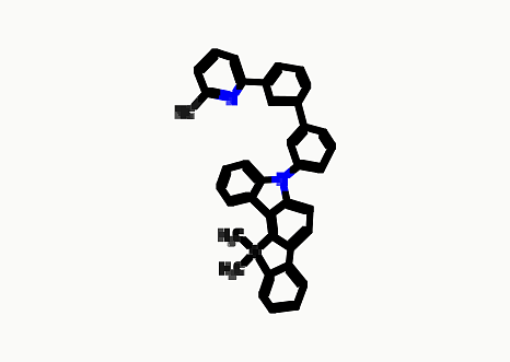 C[Si]1(C)c2ccccc2-c2ccc3c(c21)c1ccccc1n3-c1cccc(-c2cccc(-c3cccc(C#N)n3)c2)c1